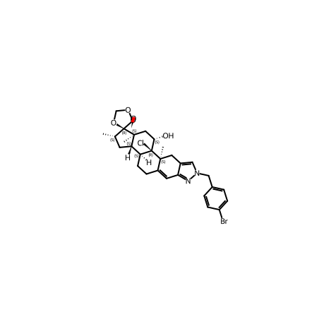 C[C@H]1C[C@H]2[C@@H]3CCC4=Cc5nn(Cc6ccc(Br)cc6)cc5C[C@]4(C)[C@@]3(Cl)[C@@H](O)C[C@]2(C)[C@]12OCOC21COCO1